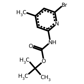 Cc1cc(Br)nc(NC(=O)OC(C)(C)C)c1